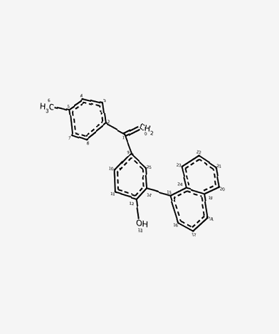 C=C(c1ccc(C)cc1)c1ccc(O)c(-c2cccc3ccccc23)c1